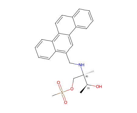 C[C@H](O)[C@@](C)(COS(C)(=O)=O)NCc1cc2c3ccccc3ccc2c2ccccc12